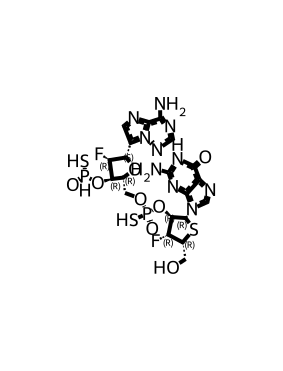 Nc1nc2c(ncn2[C@@H]2S[C@H](CO)[C@H](F)[C@H]2OP(=O)(S)OC[C@H]2O[C@@H](c3cnc4c(N)ncnn34)[C@@H](F)[C@@H]2O[PH](=O)S)c(=O)[nH]1